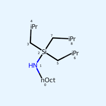 CCCCCCCCN[Si](CC(C)C)(CC(C)C)CC(C)C